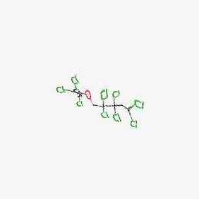 ClC(Cl)C(Cl)(Cl)C(Cl)(Cl)CO[Si](Cl)(Cl)Cl